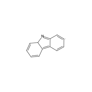 [c]1ccc2c(c1)=NC1C=CC=CC=21